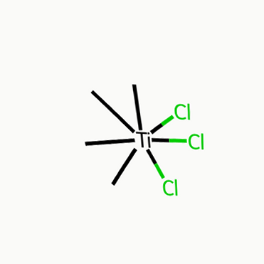 [CH3][Ti]([CH3])([CH3])([CH3])([Cl])([Cl])[Cl]